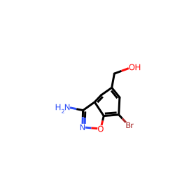 Nc1noc2c(Br)cc(CO)cc12